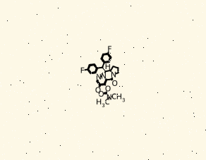 CN(C)C(=O)Oc1c2n(ncc1=O)[C@@H](C(c1ccc(F)cc1)c1ccc(F)cc1)[C@H]1CCCN1C2=O